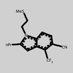 CCCc1cc2c(C(F)(F)F)c(C#N)ccc2n1CCSC